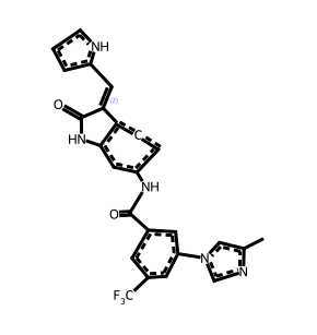 Cc1cn(-c2cc(C(=O)Nc3ccc4c(c3)NC(=O)/C4=C\c3ccc[nH]3)cc(C(F)(F)F)c2)cn1